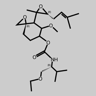 CCOC[C@H](NC(=O)OC1CC[C@]2(CO2)C(C2(C)O[C@@H]2CC=C(C)C)C1OC)C(C)C